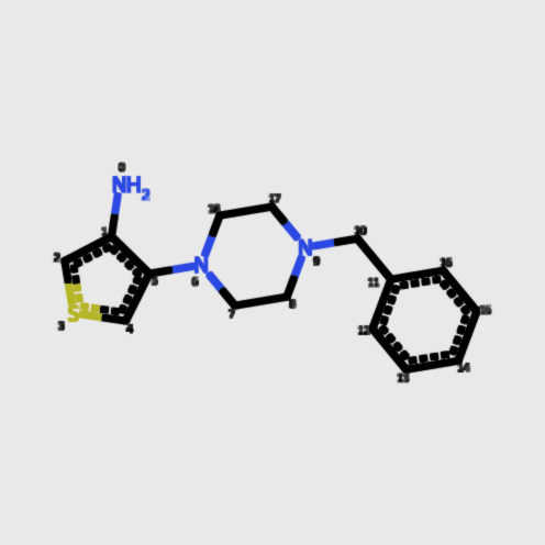 Nc1cscc1N1CCN(Cc2ccccc2)CC1